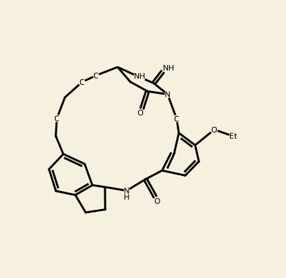 CCOc1ccc2cc1CN1C(=N)NC(CCCCCc3ccc4c(c3)C(CC4)NC2=O)CC1=O